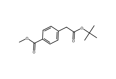 COC(=O)c1ccc(CC(=O)OC(C)(C)C)cc1